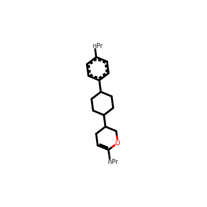 CCCC1=CCC(C2CCC(c3ccc(CCC)cc3)CC2)CO1